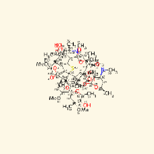 CC[C@H]1OC(=O)[C@H](C)[C@@H](O[C@H]2C[C@@](C)(OC)[C@@H](O)[C@H](C)O2)[C@H](C)[C@@H](O[C@@H]2O[C@H](C)C[C@H](N(C)C)[C@H]2OC(=O)C(C)OC(=O)C(CSC(c2ccccc2)(c2ccc(OC)cc2)c2ccc(OC)cc2)NC(C)=O)[C@](C)(O)C[C@@H](C)CN(C)[C@H](C)[C@@H](O)[C@]1(C)O